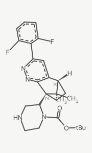 CC(C)(C)OC(=O)N1CCNCC1[C@@]12CC[C@@H](c3cc(-c4c(F)cccc4F)nnc31)C2(C)C